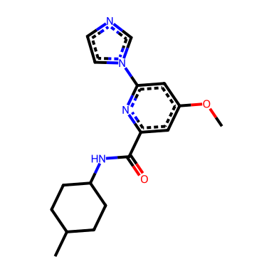 COc1cc(C(=O)NC2CCC(C)CC2)nc(-n2ccnc2)c1